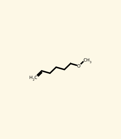 C=CCCC[CH]OC